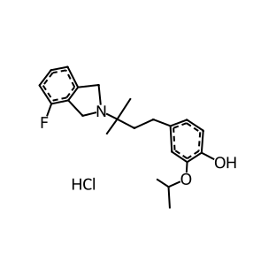 CC(C)Oc1cc(CCC(C)(C)N2Cc3cccc(F)c3C2)ccc1O.Cl